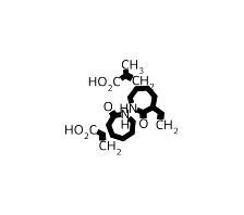 C=C(C)C(=O)O.C=CC(=O)O.C=CC1CCCCNC1=O.O=C1CCCCCN1